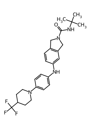 CC(C)(C)NC(=O)N1Cc2ccc(Nc3ccc(N4CCC(C(F)(F)F)CC4)cc3)cc2C1